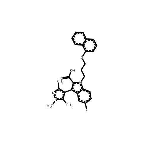 Cc1nn(C)c(C)c1-c1c(C(=O)O)n(CCCOc2cccc3ccccc23)c2ccc(F)cc12